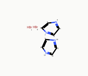 Br.Br.c1cnccn1.c1cnccn1